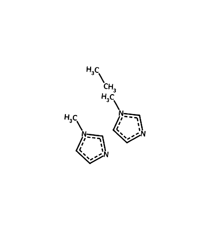 CC.Cn1ccnc1.Cn1ccnc1